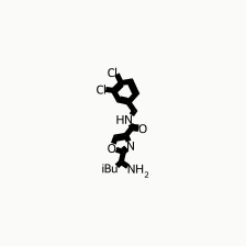 CCC(C)C(N)c1nc(C(=O)NCc2ccc(Cl)c(Cl)c2)co1